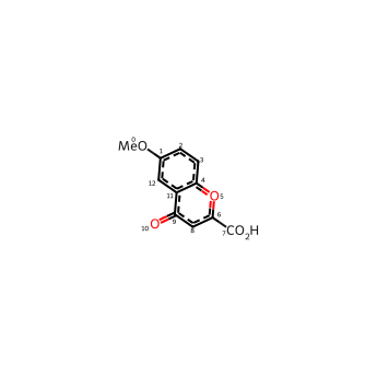 COc1ccc2oc(C(=O)O)cc(=O)c2c1